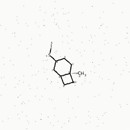 C[C@@]12CCC(SI)CC1CC2